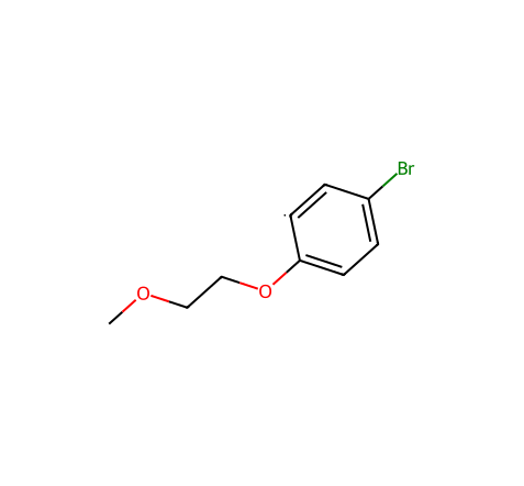 COCCOc1[c]cc(Br)cc1